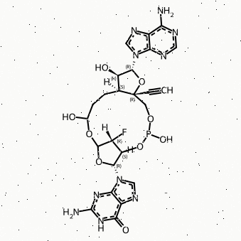 C#C[C@@]12COP(O)O[C@H]3[C@H](n4cnc5c(=O)[nH]c(N)nc54)OC(OC(O)CC[C@H]1[C@@H](O)[C@H](n1cnc4c(N)ncnc41)O2)[C@@H]3F